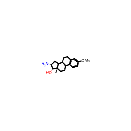 COc1ccc2c(c1)CCC1C2CC[C@@]2(C)C1C[C@@H](N)[C@H]2O